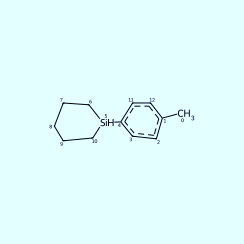 Cc1ccc([SiH]2CCCCC2)cc1